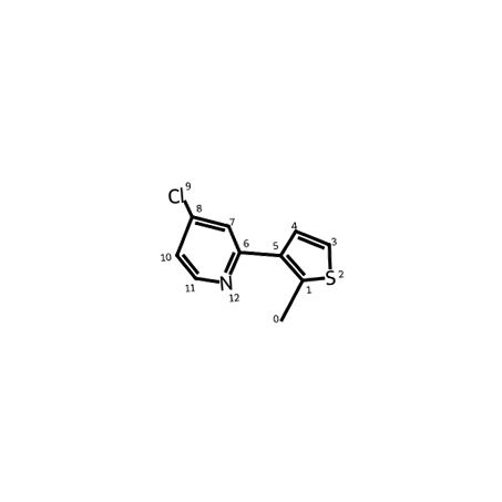 Cc1sccc1-c1cc(Cl)ccn1